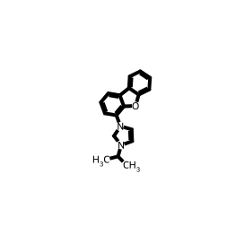 CC(C)N1C=CN(c2cccc3c2oc2ccccc23)C1